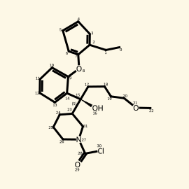 CCc1ccccc1Oc1ccccc1[C@](O)(CCCCOC)C1CCCN(C(=O)Cl)C1